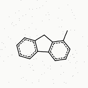 Cc1cccc2c1Cc1ccccc1-2